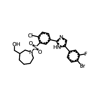 O=S(=O)(c1cc(-c2ncc(-c3ccc(Br)c(F)c3)[nH]2)ccc1Cl)N1CCCCC(CO)C1